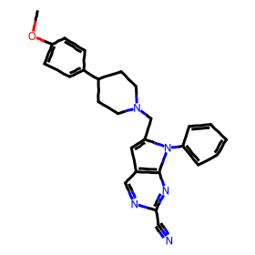 COc1ccc(C2CCN(Cc3cc4cnc(C#N)nc4n3-c3ccccc3)CC2)cc1